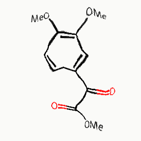 COC(=O)C(=O)c1ccc(OC)c(OC)c1